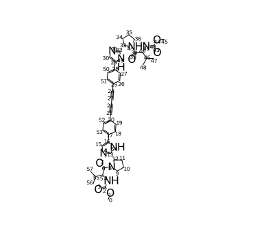 COC(=O)N[C@H](C(=O)N1CCC[C@H]1c1ncc(-c2ccc(C#CC#Cc3ccc(-c4cnc([C@@H]5CCCN5C(=O)[C@@H](NC(=O)OC)C(C)C)[nH]4)cc3)cc2)[nH]1)C(C)C